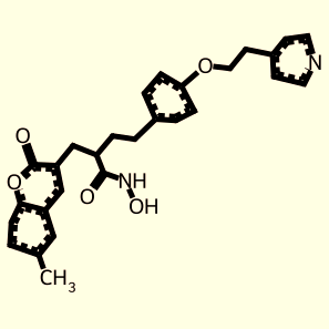 Cc1ccc2oc(=O)c(CC(CCc3ccc(OCCc4ccncc4)cc3)C(=O)NO)cc2c1